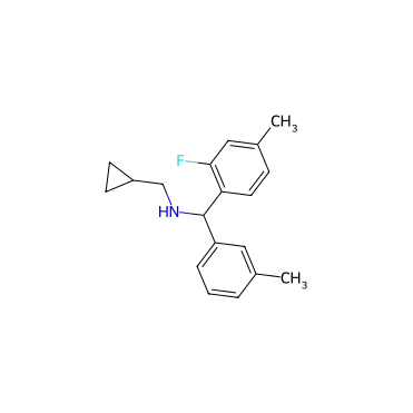 Cc1cccc(C(NCC2CC2)c2ccc(C)cc2F)c1